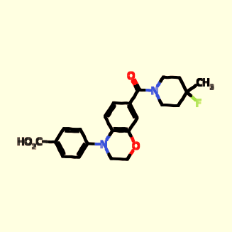 CC1(F)CCN(C(=O)c2ccc3c(c2)OCCN3c2ccc(C(=O)O)cc2)CC1